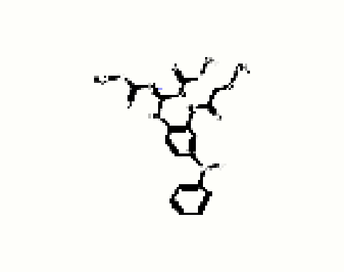 COCC(=O)Nc1cc([S+]([O-])c2ccccc2)ccc1N/C(=N\C(=O)OC)NC(=O)OC